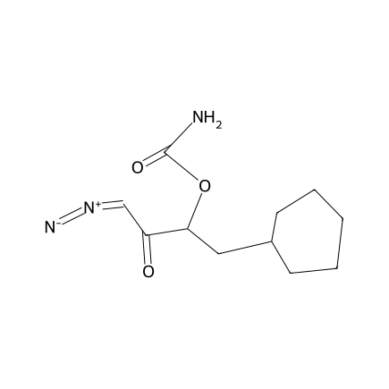 [N-]=[N+]=CC(=O)C(CC1CCCCC1)OC(N)=O